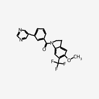 COc1cc2c(cc1C(F)(F)F)N(C(=O)c1cccc(-c3cncnc3)c1)CC2